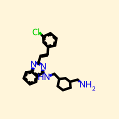 NCC1CCCC(CNc2nc(/C=C/c3cccc(Cl)c3)nc3ccccc23)C1